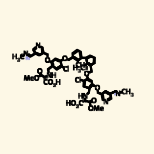 C/N=C/c1cncc(COc2cc(OCc3cccc(-c4cccc(COc5cc(OCc6cncc(/C=N/C)c6)c(CN[C@H](C(=O)O)C(=O)OC)cc5Cl)c4C)c3C)c(Cl)cc2CN[C@H](C(=O)O)C(=O)OC)c1